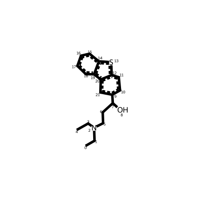 CCN(CC)CCC(O)c1ccc2sc3ccccc3c2c1